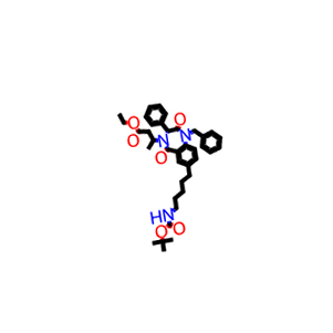 CCOC(=O)CC(C)N1C(=O)c2cc(CCCCCNC(=O)OC(C)(C)C)ccc2N(Cc2ccccc2)C(=O)C1c1ccccc1